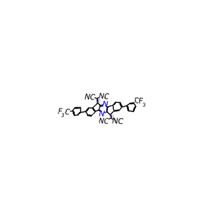 [C-]#[N+]/C(C#N)=C1/c2cc(-c3ccc(C(F)(F)F)cc3)ccc2-c2nc3c(nc21)-c1ccc(-c2cccc(C(F)(F)F)c2)cc1/C3=C(/C#N)[N+]#[C-]